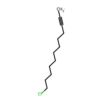 [CH2]C#CCCCCCCCCCCl